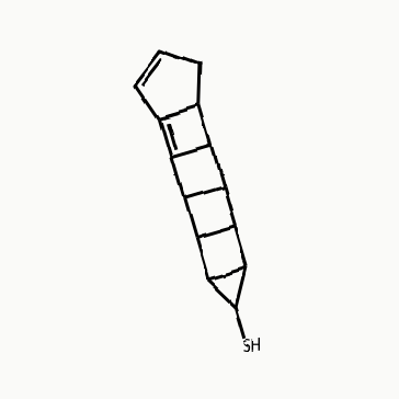 SC1C2C1C1C3C4C(=C5C=CCC54)C3C21